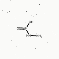 NN[P](=O)O